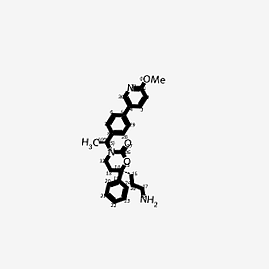 COc1ccc(-c2ccc([C@H](C)N3CC[C@](CCCN)(c4ccccc4)OC3=O)cc2)cn1